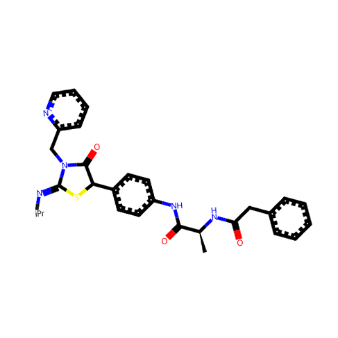 CC(C)/N=C1\SC(c2ccc(NC(=O)[C@H](C)NC(=O)Cc3ccccc3)cc2)C(=O)N1Cc1ccccn1